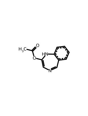 CC(=O)OC1=CN=Cc2ccccc2N1